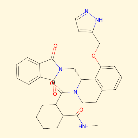 CNC(=O)C1CCCCC1C(=O)N1CCc2cccc(OCc3ccn[nH]3)c2[C@H]1CN1C(=O)c2ccccc2C1=O